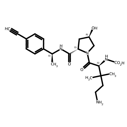 C#Cc1ccc([C@H](C)NC(=O)[C@@H]2C[C@@H](O)CN2C(=O)[C@@H](NC(=O)O)C(C)(C)CCN)cc1